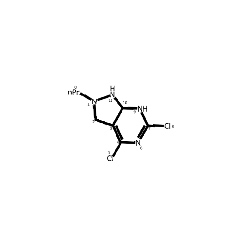 CCCN1CC2=C(Cl)N=C(Cl)NC2N1